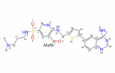 CNC(=O)c1cc(S(=O)(=O)NCCCN(C)C)cnc1NCc1ccc(-c2ccc3ncnc(N)c3c2)s1